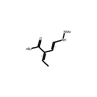 C/C=C(\C=C\NNC)C(=O)CCCC